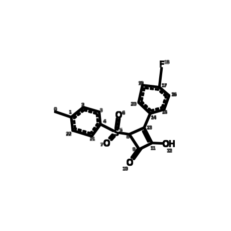 Cc1ccc(S(=O)(=O)C2C(=O)C(O)=C2c2ccc(F)cc2)cc1